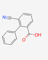 N#Cc1cccc(C(=O)O)c1-c1ccccc1